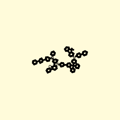 CC1(C)c2ccccc2-c2ccc(N(c3ccc(-c4ccccc4)cc3)c3ccc(C4(c5ccccc5)c5ccccc5-c5cc(-c6ccc(-n7c8ccc(N(c9ccccc9)c9ccc(-c%10ccc(-c%11ccccc%11)cc%10)cc9)cc8c8c9oc%10ccccc%10c9ccc87)cc6)ccc54)cc3)cc21